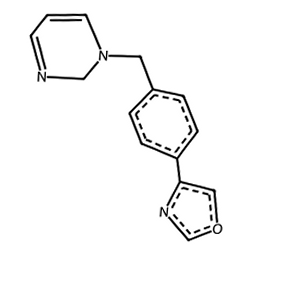 C1=CN(Cc2ccc(-c3cocn3)cc2)CN=C1